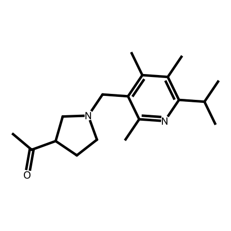 CC(=O)C1CCN(Cc2c(C)nc(C(C)C)c(C)c2C)C1